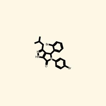 CC(C)Cc1n[nH]c2c1C(c1ccccc1Br)N(c1ccc(Br)cc1)C2=O